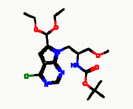 CCOC(OCC)c1cc2c(Cl)ncnc2n1CC(COC)NC(=O)OC(C)(C)C